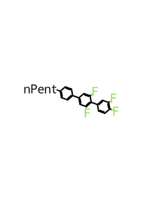 CCCCCc1ccc(-c2cc(F)c(-c3ccc(F)c(F)c3)c(F)c2)cc1